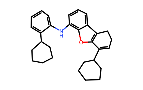 C1=C(C2CCCCC2)c2oc3c(Nc4ccccc4C4CCCCC4)cccc3c2CC1